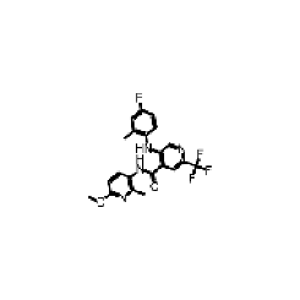 COc1ccc(NC(=O)c2cc(C(F)(F)F)ncc2Nc2ccc(F)cc2C)c(C)n1